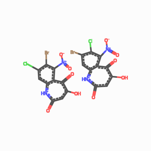 O=c1cc(O)c(=O)c2c([N+](=O)[O-])c(Br)c(Cl)cc2[nH]1.O=c1cc(O)c(=O)c2c([N+](=O)[O-])c(Cl)c(Br)cc2[nH]1